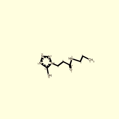 CCCNC(=O)CCn1nnnc1S